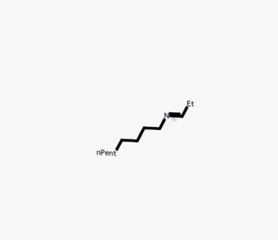 CC/C=N/CCCCCCCCC